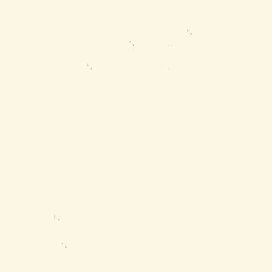 O=C(CN1CCN(C(=O)c2ccc(/C=C/c3n[nH]c4ccccc34)cc2)CC1)N1CCCC1